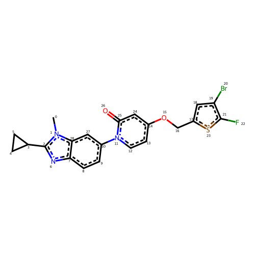 Cn1c(C2CC2)nc2ccc(-n3ccc(OCc4cc(Br)c(F)s4)cc3=O)cc21